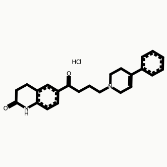 Cl.O=C1CCc2cc(C(=O)CCCN3CC=C(c4ccccc4)CC3)ccc2N1